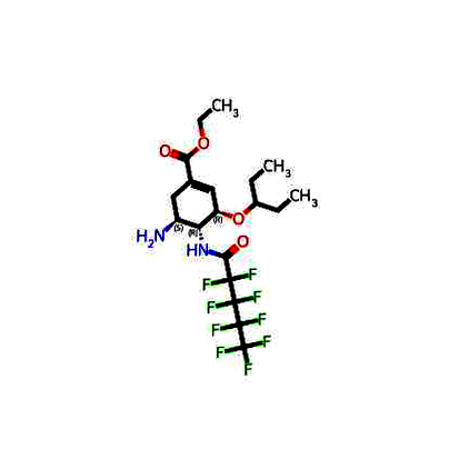 CCOC(=O)C1=C[C@@H](OC(CC)CC)[C@H](NC(=O)C(F)(F)C(F)(F)C(F)(F)C(F)(F)F)[C@@H](N)C1